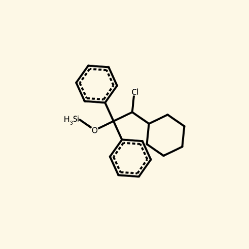 [SiH3]OC(c1ccccc1)(c1ccccc1)C(Cl)C1CCCCC1